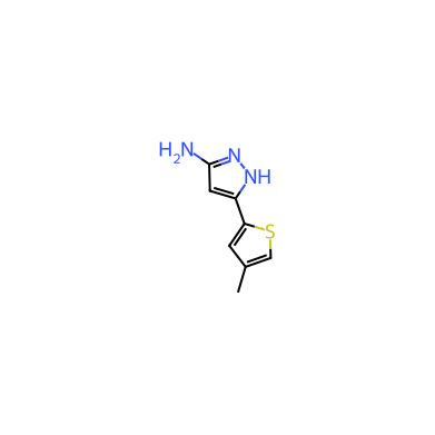 Cc1csc(-c2cc(N)n[nH]2)c1